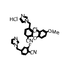 COc1ccc(Oc2cc(Cn3ccnc3)ccc2C#N)c(Cl)c1.Cl.N#Cc1ccc(Cn2ccnc2)cc1F